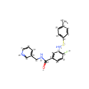 Cc1ccc(SNc2cc(C(=O)NCc3cccnc3)ccc2F)cc1